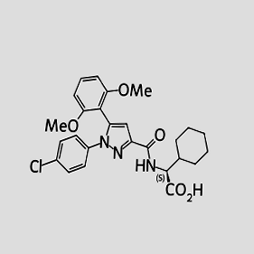 COc1cccc(OC)c1-c1cc(C(=O)N[C@H](C(=O)O)C2CCCCC2)nn1-c1ccc(Cl)cc1